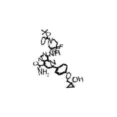 CC(C)(C)OC(=O)N1CCC(F)(F)[C@H](Nc2ncnc3c(C(N)=O)cc(-c4ccc(OCC5(O)CC5)cc4)nc23)C1